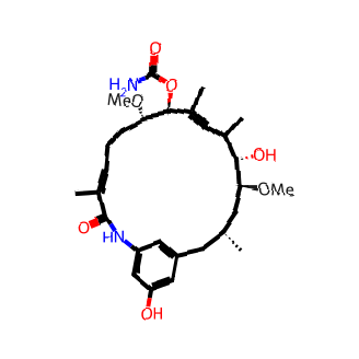 CO[C@H]1CC/C=C(\C)C(=O)Nc2cc(O)cc(c2)C[C@@H](C)C[C@H](OC)[C@@H](O)C(C)/C=C(\C)[C@@H]1OC(N)=O